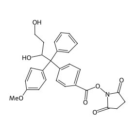 COc1ccc(C(c2ccccc2)(c2ccc(C(=O)ON3C(=O)CCC3=O)cc2)C(O)CCO)cc1